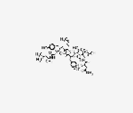 CSCC[C@H](NC(=O)[C@H](Cc1ccc(O)cc1)NC(=O)[C@@H](NC(=O)[C@H](CC(C)C)NC(=O)[C@@H](N)CC(N)=O)C(C)O)C(=O)N[C@@H](Cc1ccc(O)cc1)C(=O)NCC(=O)N[C@H](C)CC(C)C